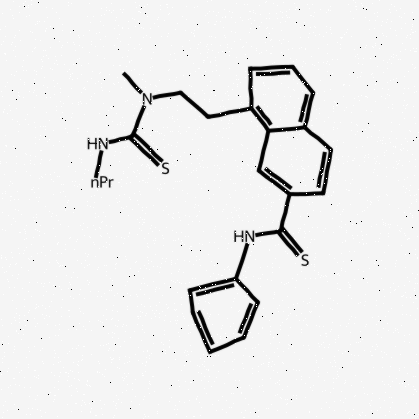 CCCNC(=S)N(C)CCc1cccc2ccc(C(=S)Nc3ccccc3)cc12